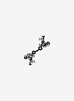 CC(C)CN[C@H]1C[C@@H](c2nc3cc(C#Cc4ccc5[nH]c([C@@H]6C[C@H](NCC(C)C)CN6C(=O)[C@H]6CCCO6)nc5c4)ccc3[nH]2)N(C(=O)[C@H]2CCCO2)C1